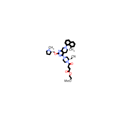 COCCOC(=O)/C=C/C(=O)N1CCN(c2nc(OC[C@@H]3CCCN3C)nc3c2CCN(c2cccc4cccc(C)c24)C3)C[C@@H]1CC#N